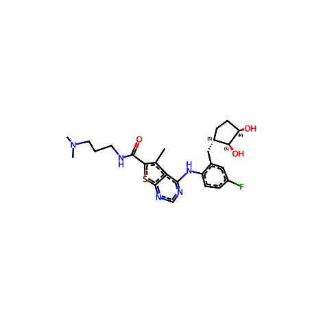 Cc1c(C(=O)NCCCN(C)C)sc2ncnc(Nc3ccc(F)cc3C[C@@H]3CC[C@@H](O)[C@H]3O)c12